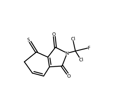 O=C1C2=C(C(=O)N1C(F)(Cl)Cl)C(=S)CC=C2